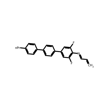 C=CC=Nc1c(F)cc(-c2ccc(-c3ccc(CCC)cc3)cc2)cc1F